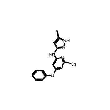 Cc1cc(Nc2cc(Oc3ccccc3)cc(Cl)n2)n[nH]1